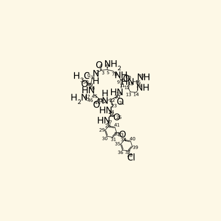 C[C@@H]1NC(=O)[C@@H](N)CNC(=O)[C@H](C2CCNC(=N)N2)NC(=O)/C(=C/NC(=O)Nc2cccc(Oc3ccc(Cl)cc3)c2)NC(=O)[C@H](CN)NC1=O